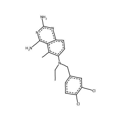 CCN(Cc1ccc(Cl)c(Cl)c1)c1ccc2nc(N)nc(N)c2c1C